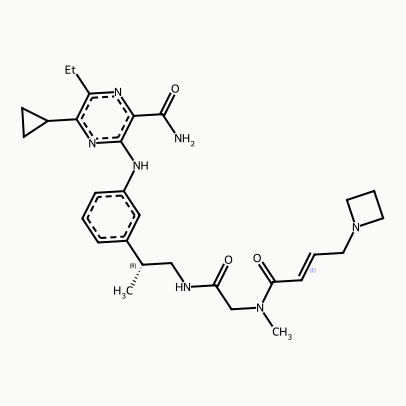 CCc1nc(C(N)=O)c(Nc2cccc([C@@H](C)CNC(=O)CN(C)C(=O)/C=C/CN3CCC3)c2)nc1C1CC1